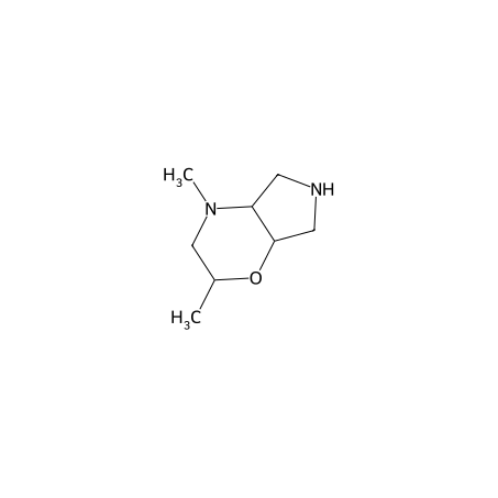 CC1CN(C)C2CNCC2O1